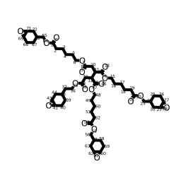 O=C(CCCCCOC(=O)CC(C(=O)OCCCCCC(=O)OCC1CCC2OC2C1)C(CC(=O)OCCC1CCC2OC2C1)C(=O)OCCCCCC(=O)OCC1CCC2OC2C1)OCC1CCC2OC2C1